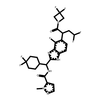 Cn1nccc1C(=O)NC(c1nc2c(F)c(C(CC(F)F)C(=O)N3CC(F)(F)C3)ccc2[nH]1)C1CCC(F)(F)CC1